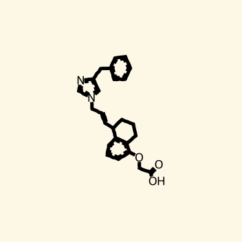 O=C(O)COc1cccc2c1CCCC2C=CCn1cnc(Cc2ccccc2)c1